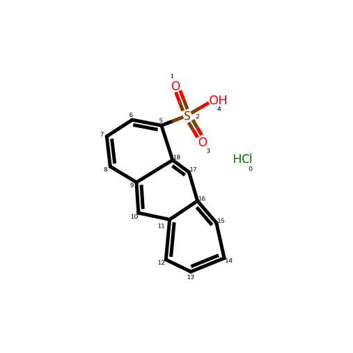 Cl.O=S(=O)(O)c1cccc2cc3ccccc3cc12